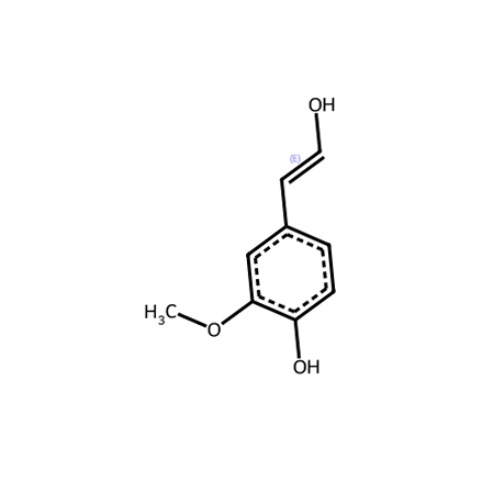 COc1cc(/C=C/O)ccc1O